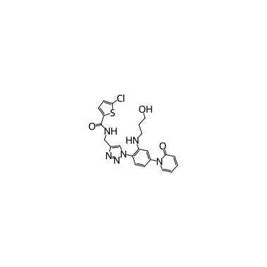 O=C(NCc1cn(-c2ccc(-n3ccccc3=O)cc2NCCCO)nn1)c1ccc(Cl)s1